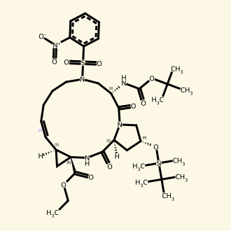 CCOC(=O)[C@@]12C[C@H]1/C=C\CCCN(S(=O)(=O)c1ccccc1[N+](=O)[O-])C[C@H](NC(=O)OC(C)(C)C)C(=O)N1C[C@H](O[Si](C)(C)C(C)(C)C)C[C@H]1C(=O)N2